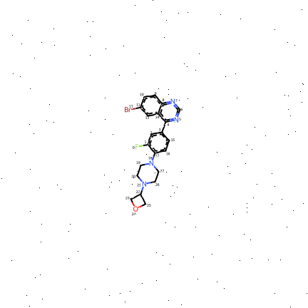 Fc1cc(-c2ncnc3ccc(Br)cc23)ccc1N1CCN(C2COC2)CC1